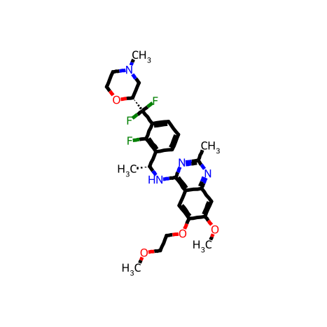 COCCOc1cc2c(N[C@H](C)c3cccc(C(F)(F)[C@H]4CN(C)CCO4)c3F)nc(C)nc2cc1OC